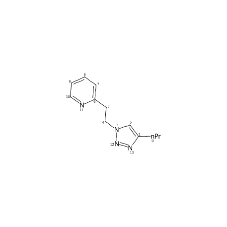 CCCc1cn(CCc2ccccn2)nn1